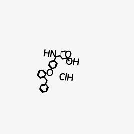 CC[C@H](CC(=O)O)C(=N)c1ccc(Oc2ccccc2Cc2ccccc2)cc1.Cl